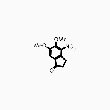 COc1cc2c(c([N+](=O)[O-])c1OC)CCC2=O